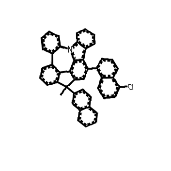 CC1(c2ccc3ccccc3c2)c2cccc3c2-c2c1cc(-c1cccc4c(Cl)cccc14)c1c4ccccc4n(c21)-c1ccccc1-3